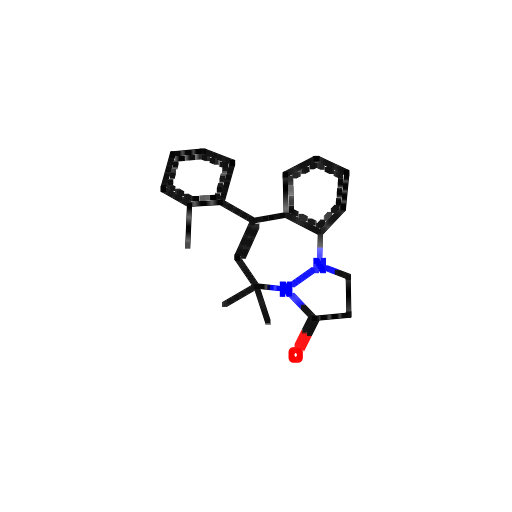 Cc1ccccc1C1=CC(C)(C)N2C(=O)CCN2c2ccccc21